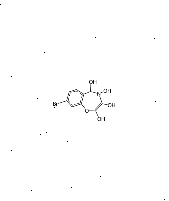 OC1=C(O)N(O)C(O)c2ccc(Br)cc2O1